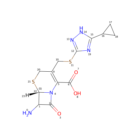 NC1C(=O)N2C(C(=O)O)=C(CSc3n[nH]c(C4CC4)n3)CS[C@@H]12